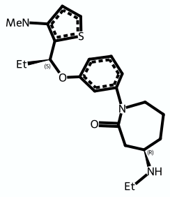 CCN[C@@H]1CCCN(c2cccc(O[C@@H](CC)c3sccc3NC)c2)C(=O)C1